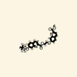 COC(=O)c1ccc2ccc(OCCOC(=O)c3ccc4ccc(O[Si](C)(C)C(C)(C)C)cc4n3)cc2n1